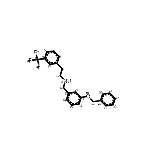 FC(F)(F)c1cccc(CCNCc2cccc(OCc3ccccc3)c2)c1